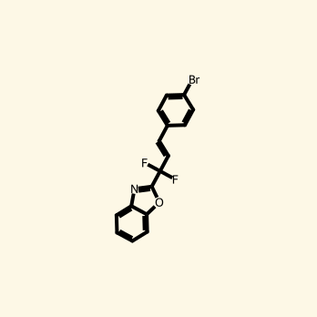 FC(F)(/C=C/c1ccc(Br)cc1)c1nc2ccccc2o1